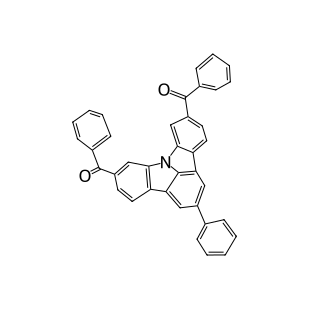 O=C(c1ccccc1)c1ccc2c3cc(-c4ccccc4)cc4c5ccc(C(=O)c6ccccc6)cc5n(c2c1)c34